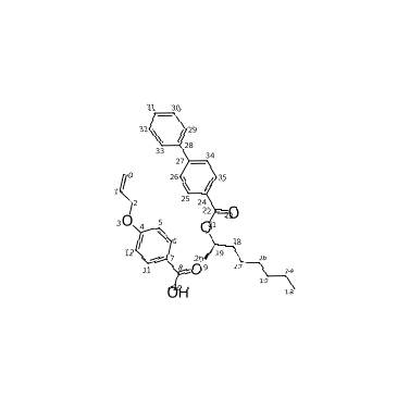 C=CCOc1ccc(C(=O)O)cc1.CCCCCC[C@@H](C)OC(=O)c1ccc(-c2ccccc2)cc1